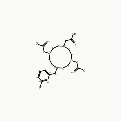 O=C(O)CN1CCN(CC(=O)O)CCN(Cc2cccc(Br)n2)CCN(CC(=O)O)CC1